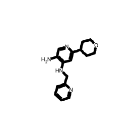 Nc1cnc(C2CCOCC2)cc1NCc1ccccn1